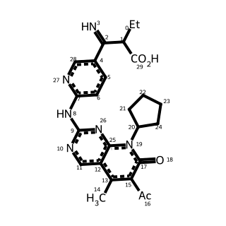 CCC(C(=N)c1ccc(Nc2ncc3c(C)c(C(C)=O)c(=O)n(C4CCCC4)c3n2)nc1)C(=O)O